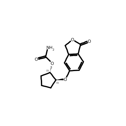 NC(=O)O[C@H]1CCC[C@@H]1Oc1ccc2c(c1)COC2=O